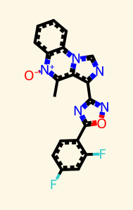 Cc1c2c(-c3noc(-c4ccc(F)cc4F)n3)ncn2c2ccccc2[n+]1[O-]